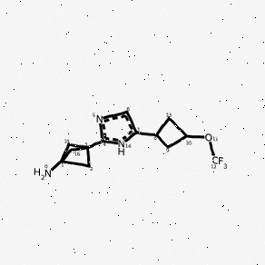 NC12CC(c3ncc(C4CC(OC(F)(F)F)C4)[nH]3)(C1)C2